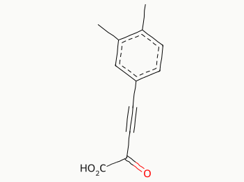 Cc1ccc(C#CC(=O)C(=O)O)cc1C